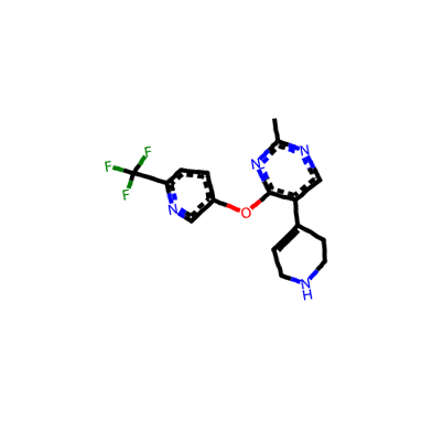 Cc1ncc(C2=CCNCC2)c(Oc2ccc(C(F)(F)F)nc2)n1